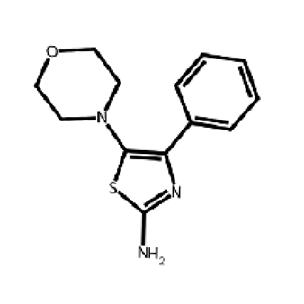 Nc1nc(-c2ccccc2)c(N2CCOCC2)s1